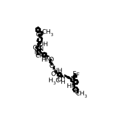 COc1cc(C(=O)NCCOCCC(=O)NCc2ccc(-c3c4ncn(CC5(O)CCN(C(=O)C[C@@H](C)c6ccccc6)CC5)c(=O)c4nn3C)cc2)ccc1NCC#Cc1cc2c(NC3CCN(C)CC3)cccc2n1CC(F)(F)F